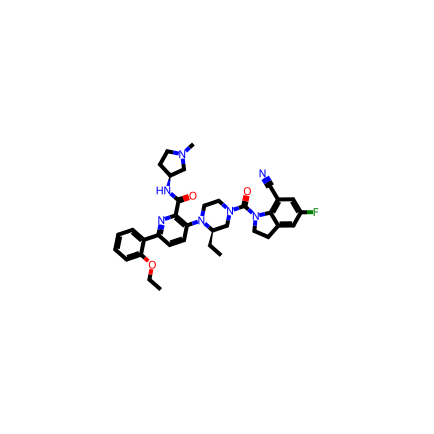 CCOc1ccccc1-c1ccc(N2CCN(C(=O)N3CCc4cc(F)cc(C#N)c43)C[C@H]2CC)c(C(=O)N[C@H]2CCN(C)C2)n1